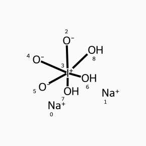 [Na+].[Na+].[O-][I+]([O-])([O-])(O)(O)O